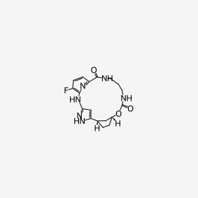 O=C1NCCCNC(=O)c2ccc(F)c(n2)Nc2cc([nH]n2)[C@H]2CC[C@H](C2)O1